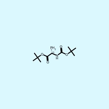 CC(C)(C)OC(=O)N[C@@H](P)C(=O)OC(C)(C)C